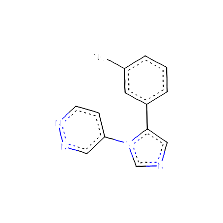 N#Cc1cccc(-c2cncn2-c2ccnnc2)c1